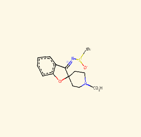 CC(C)(C)[S+]([O-])/N=C1/c2ccccc2OC12CCN(C(=O)O)CC2